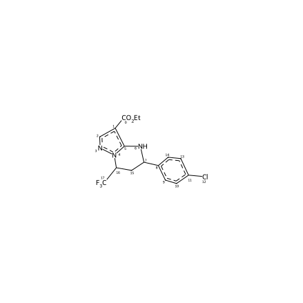 CCOC(=O)c1cnn2c1NC(c1ccc(Cl)cc1)CC2C(F)(F)F